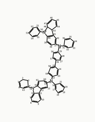 C1=CCCC(n2c3ccccc3c3cc(N(c4ccccc4)c4ccc(-c5ccc(N(c6ccccc6)c6ccc7c(c6)C6C=CC=CC6N7c6ccccc6)cc5)cc4)ccc32)=C1